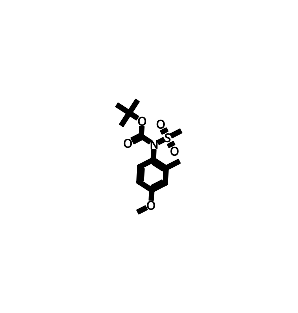 COc1ccc(N(C(=O)OC(C)(C)C)S(C)(=O)=O)c(C)c1